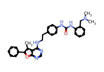 Cc1c(-c2ccccc2)oc2ncnc(NCCc3ccc(NC(=O)Nc4ccccc4CN(C)C)cc3)c12